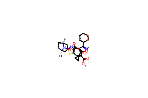 COC(=O)c1cc2sc(N3[C@@H]4CC[C@H]3C[C@H](OC(=O)c3c(C56CCC(CC5)CC6)noc3C3CC3)C4)nc2cc1OC